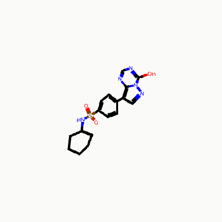 O=S(=O)(NC1CCCCC1)c1ccc(-c2cnn3c(O)ncnc23)cc1